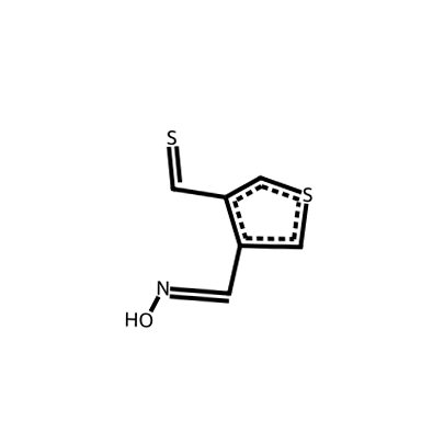 ON=Cc1cscc1C=S